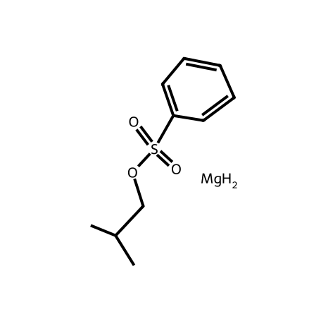 CC(C)COS(=O)(=O)c1ccccc1.[MgH2]